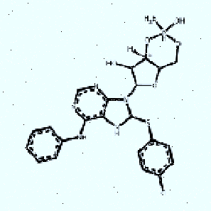 B[PH]1(O)OCC2OC(N3c4ncnc(Nc5ccccc5)c4NC3Sc3ccc(Cl)cc3)C(O)[C@@H]2O1